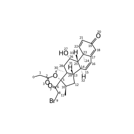 CCC(=O)O[C@@]1(C(=O)CBr)[C@H](C)C[C@H]2[C@@H]3C=CC4=CC(=O)C=C[C@]4(C)[C@H]3[C@@H](O)C[C@@]21C